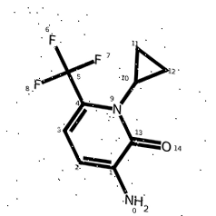 Nc1ccc(C(F)(F)F)n(C2CC2)c1=O